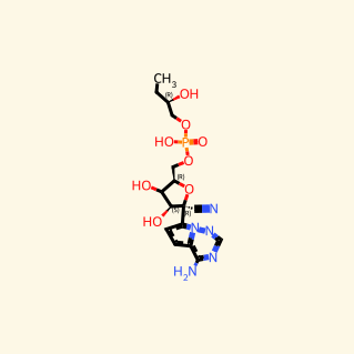 CC[C@@H](O)COP(=O)(O)OC[C@H]1O[C@@](C#N)(c2ccc3c(N)ncnn23)[C@@H](O)C1O